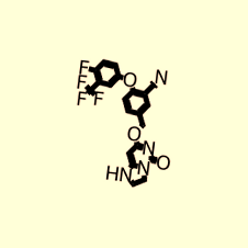 N#Cc1cc(COc2cc3n(c(=O)n2)CCN3)ccc1Oc1ccc(F)c(C(F)(F)F)c1